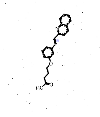 O=C(O)CCCOc1cccc(/C=C/c2ccc3ccccc3n2)c1